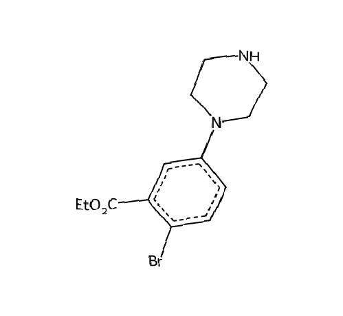 CCOC(=O)c1cc(N2CCNCC2)ccc1Br